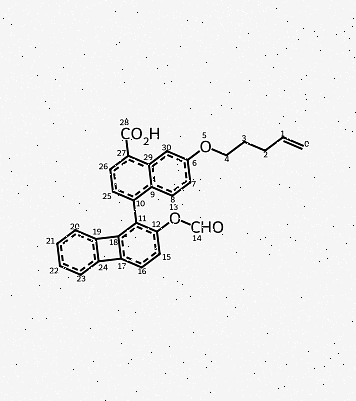 C=CCCCOc1ccc2c(-c3c(OC=O)ccc4c3-c3ccccc3-4)ccc(C(=O)O)c2c1